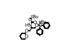 CC(C)(C)OC(=O)N[C@H](COC1CCCCO1)CO[Si](c1ccccc1)(c1ccccc1)C(C)(C)C